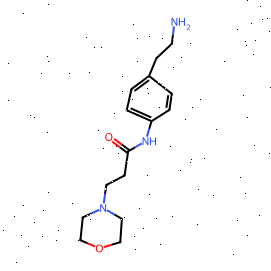 NCCc1ccc(NC(=O)CCN2CCOCC2)cc1